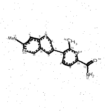 CNc1cc2ncc(-c3ccc(C(N)=O)nc3C)cc2cn1